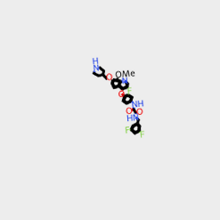 COc1c(OCC2CCNCC2)ccc2c(Oc3ccc(NC(=O)C(=O)NCc4cc(F)cc(F)c4)cc3F)ccnc12